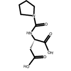 O=C(O)C[C@H](NC(=O)N1CCCC1)C(=O)O